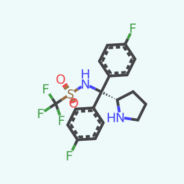 O=S(=O)(NC(c1ccc(F)cc1)(c1ccc(F)cc1)[C@@H]1CCCN1)C(F)(F)F